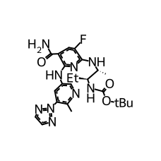 CC[C@H](NC(=O)OC(C)(C)C)[C@@H](C)Nc1nc(Nc2cnc(C)c(-n3nccn3)c2)c(C(N)=O)cc1F